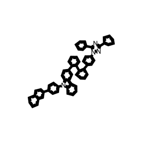 c1ccc(-c2nc(-c3ccccc3)n(-c3ccc(-c4ccccc4-c4ccccc4-c4ccc5c(c4)c4ccccc4n5-c4ccc(-c5ccc6ccccc6c5)cc4)cc3)n2)cc1